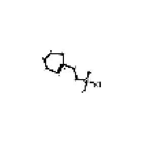 C[Si](C)(Cl)CCC1=CCCCC1